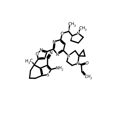 C=CC(=O)N1CCN(c2cc(O[C@@H](C)[C@@H]3CCCN3C)nc(-c3cc([C@@]4(C)CCCc5sc(N)c(C#N)c54)on3)n2)CC12CC2